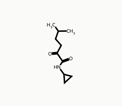 CC(C)CCC(=O)C(=O)NC1CC1